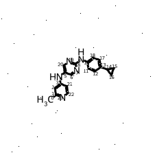 Cc1cc(Nc2cnc(Nc3ccc(C4CC4)cc3)nc2)ccn1